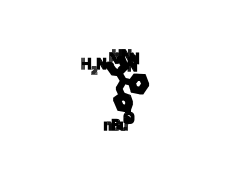 CCCCOc1ccc(CC(c2ccccc2)c2cc(N)nc3[nH]nnc23)cc1